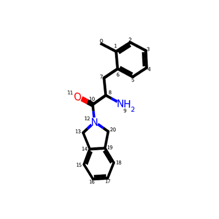 Cc1ccccc1CC(N)C(=O)N1Cc2ccccc2C1